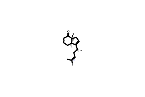 C/C(F)=C\C[C@@H](C)C1=CC[C@H]2C(=O)CCC[C@]12C